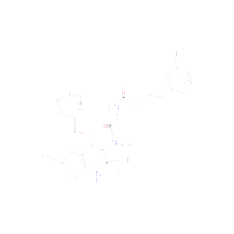 CN(C(=O)CNC(=O)OCCc1cccc(C(F)(F)F)c1)C1=C(OCc2ccccc2)c2cc(Cl)ccc2NC1(C)Cl